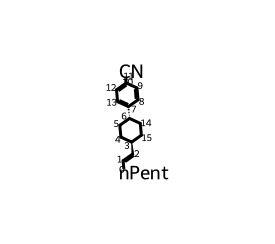 CCCCC/C=C/[C@H]1CC[C@H](c2ccc(C#N)cc2)CC1